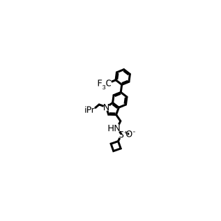 CC(C)Cn1cc(CN[S+]([O-])C2CCC2)c2ccc(-c3ccccc3C(F)(F)F)cc21